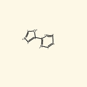 [c]1cnc(-c2cnco2)nc1